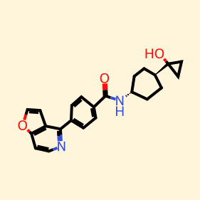 O=C(N[C@H]1CC[C@H](C2(O)CC2)CC1)c1ccc(-c2nccc3occc23)cc1